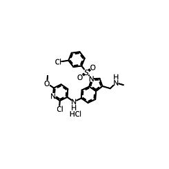 CNCc1cn(S(=O)(=O)c2cccc(Cl)c2)c2cc(Nc3ccc(OC)nc3Cl)ccc12.Cl